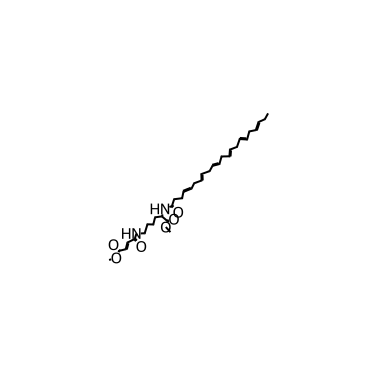 CCC=CCC=CCC=CCC=CCC=CCC=CCCC(=O)NC(CCCCNC(=O)C=CC(=O)OC)C(=O)OC